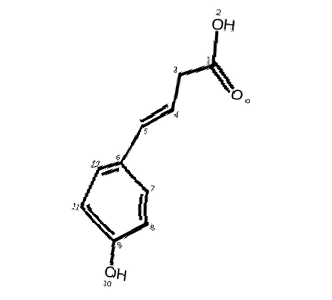 O=C(O)CC=Cc1ccc(O)cc1